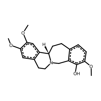 COc1cc2c(cc1OC)[C@@H]1CCc3ccc(OC)c(O)c3CN1CC2